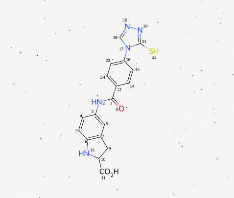 O=C(Nc1ccc2c(c1)CC(C(=O)O)N2)c1ccc(-n2cnnc2S)cc1